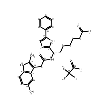 CCC(=O)CCCCC[C@H](NC(=O)Cc1c(C)[nH]c2ccc(O)cc12)c1ncc(-c2ccccc2)[nH]1.O=C(O)C(F)(F)F